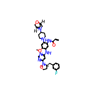 C=CC(=O)Nc1cc(Nc2cc(N3OCC[C@@H]3Cc3cccc(F)c3)ncn2)c(OC)cc1N1CCC(N2C[C@H]3C[C@@H]2CO3)CC1